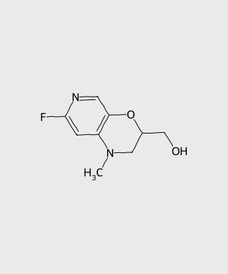 CN1CC(CO)Oc2cnc(F)cc21